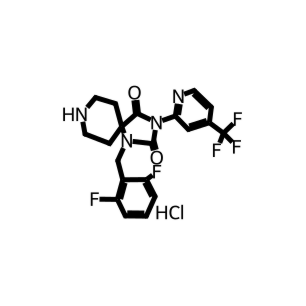 Cl.O=C1N(c2cc(C(F)(F)F)ccn2)C(=O)C2(CCNCC2)N1Cc1c(F)cccc1F